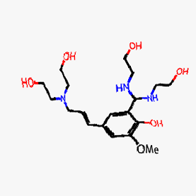 COc1cc(C=CCN(CCO)CCO)cc(C(NCCO)NCCO)c1O